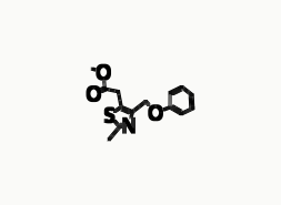 COC(=O)Cc1sc(C)nc1COc1ccccc1